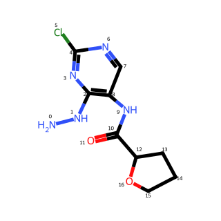 NNc1nc(Cl)ncc1NC(=O)C1CCCO1